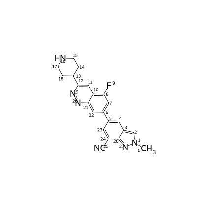 Cn1cc2cc(-c3cc(F)c4cc(C5CCNCC5)nnc4c3)cc(C#N)c2n1